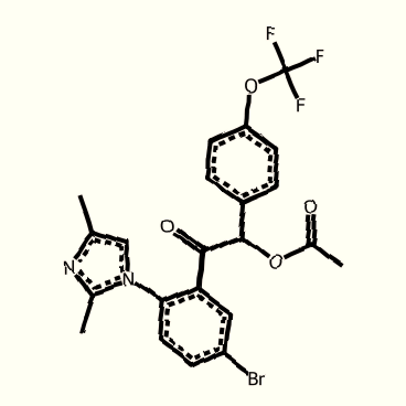 CC(=O)OC(C(=O)c1cc(Br)ccc1-n1cc(C)nc1C)c1ccc(OC(F)(F)F)cc1